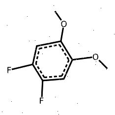 COc1cc(F)c(F)cc1OC